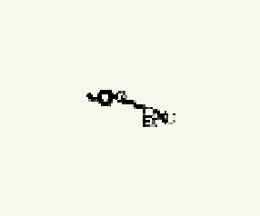 C=Cc1ccc(OCCCCOCC2(CC)COC2)cc1